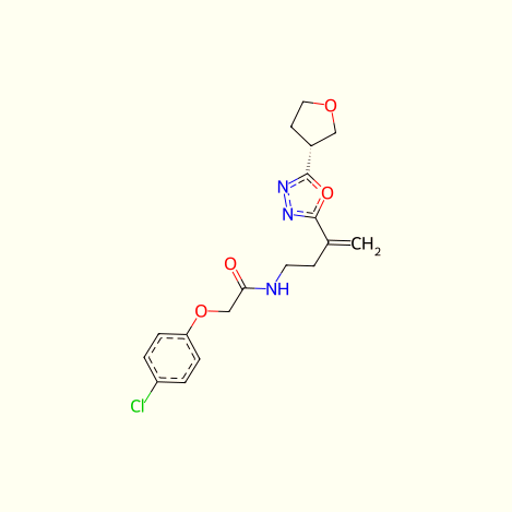 C=C(CCNC(=O)COc1ccc(Cl)cc1)c1nnc([C@@H]2CCOC2)o1